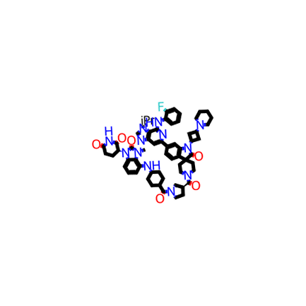 CC(C)n1cnc2cc(-c3ccc4c(c3)N(C3CC(N5CCCCC5)C3)C(=O)C43CCN(C(=O)[C@H]4CCN(C(=O)C5CCC(Nc6cccc7c6n(C)c(=O)n7[C@@H]6CCC(=O)NC6=O)CC5)C4)CC3)nc(Nc3ccccc3F)c21